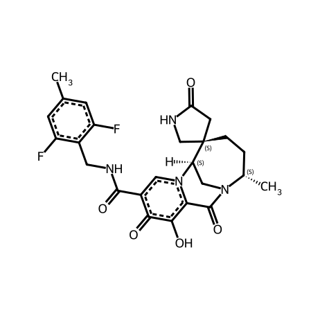 Cc1cc(F)c(CNC(=O)c2cn3c(c(O)c2=O)C(=O)N2C[C@@H]3[C@]3(CC[C@@H]2C)CNC(=O)C3)c(F)c1